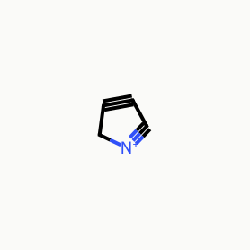 C1#CC[N+]#C1